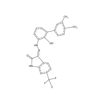 Cc1ccc(-c2cccc(NN=C3C(=O)Nc4cc(C(F)(F)F)ccc43)c2O)cc1C